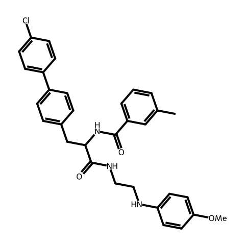 COc1ccc(NCCNC(=O)C(Cc2ccc(-c3ccc(Cl)cc3)cc2)NC(=O)c2cccc(C)c2)cc1